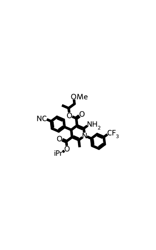 COCC(C)OC(=O)C1=C(N)N(c2cccc(C(F)(F)F)c2)C(C)=C(C(=O)OC(C)C)C1c1ccc(C#N)cc1